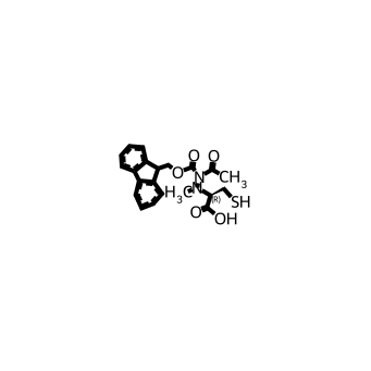 CC(=O)N(C(=O)OCC1c2ccccc2-c2ccccc21)N(C)[C@@H](CS)C(=O)O